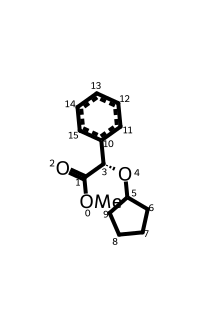 COC(=O)[C@@H](OC1CCCC1)c1ccccc1